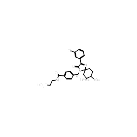 CCCCC[C@H](c1ccc(C(=O)NCCC(=O)O)cc1)N1C(=O)C(c2cccc(Cl)c2)=NC12CCC(C(C)(C)C)CC2